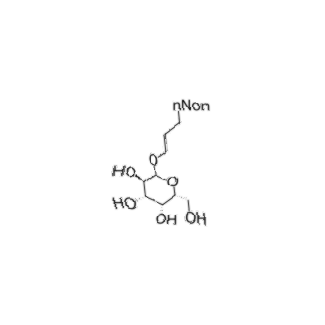 CCCCCCCCCCCCOC1O[C@H](CO)[C@H](O)[C@H](O)[C@H]1O